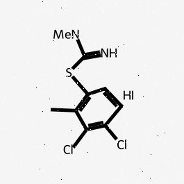 CNC(=N)Sc1ccc(Cl)c(Cl)c1C.I